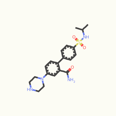 CC(C)NS(=O)(=O)c1ccc(-c2ccc(N3CCNCC3)[c]c2C(N)=O)cc1